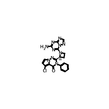 Nc1nc(N2CC[C@H]2c2nn3ccc(Cl)c3c(=O)n2-c2ccccc2)n2ncnc2n1